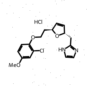 COc1ccc(OCC[C@H]2C=C[C@H](Cc3ncc[nH]3)O2)c(Cl)c1.Cl